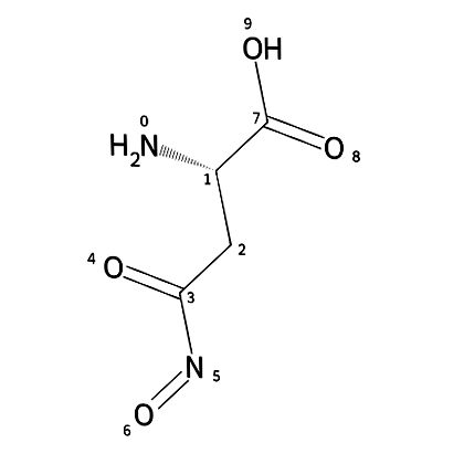 N[C@@H](CC(=O)N=O)C(=O)O